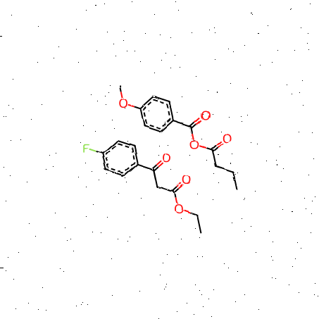 CCCC(=O)OC(=O)c1ccc(OC)cc1.CCOC(=O)CC(=O)c1ccc(F)cc1